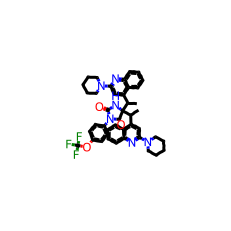 CC(c1cc(N2CCCCC2)nc2ccccc12)C1(C(C)c2cc(N3CCCCC3)nc3ccccc23)NC(=O)N(c2ccc(OC(F)(F)F)cc2)C1=O